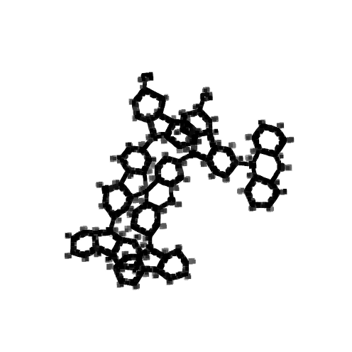 N#Cc1ccc2c(c1)c1ccccc1n2-c1cnc2c(c1)C1(c3ccc(-n4c5ccccc5c5ccccc54)cc3Oc3cc(-n4c5ccc(C#N)cc5c5cc(N6c7ccccc7Oc7ccccc76)ccc54)ccc31)c1cc(-n3c4ccccc4c4ccccc43)cnc1-2